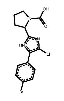 O=C(O)N1CCCC1c1nc(Cl)c(-c2ccc(Br)cc2)[nH]1